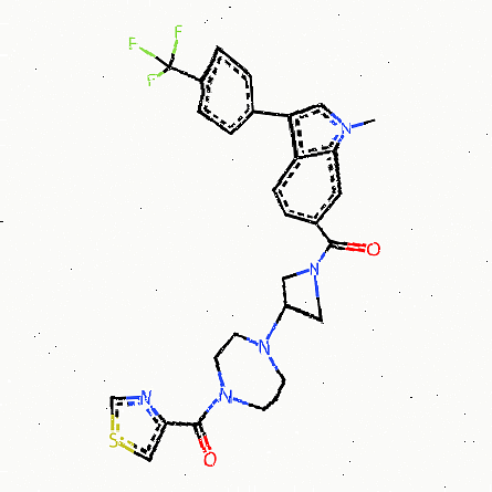 Cn1cc(-c2ccc(C(F)(F)F)cc2)c2ccc(C(=O)N3CC(N4CCN(C(=O)c5cscn5)CC4)C3)cc21